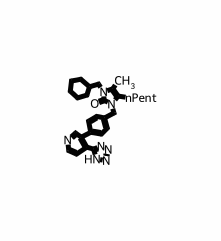 CCCCCc1c(C)n(CC2CCCCC2)c(=O)n1Cc1ccc(-c2cnccc2-c2nnn[nH]2)cc1